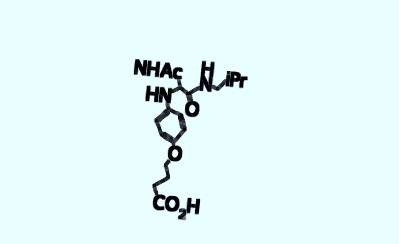 CC(=O)NC(Nc1ccc(OCCCC(=O)O)cc1)C(=O)NCC(C)C